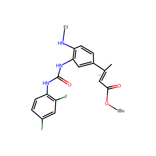 CCNc1ccc(/C(C)=C/C(=O)OC(C)(C)C)cc1NC(=O)Nc1ccc(F)cc1F